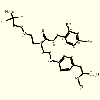 CCOC(Cc1ccc(OCCN(CCOCCC(C)(F)F)C(=O)OCc2ccc(F)cc2F)cc1)C(=O)O